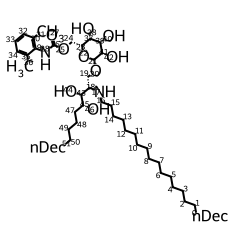 CCCCCCCCCCCCCCCCCCCCCCCCCCN[C@@H](CO[C@H]1O[C@H](COC(=O)Nc2c(C)cccc2C)[C@H](O)[C@H](O)[C@H]1O)[C@H](O)[C@H](O)CCCCCCCCCCCCCC